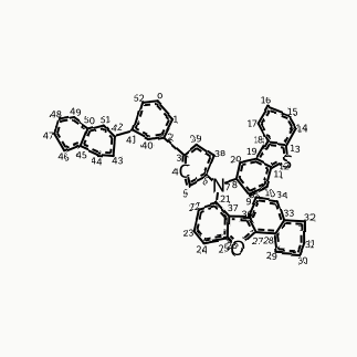 c1cc(-c2ccc(N(c3ccc4sc5ccccc5c4c3)c3cccc4oc5c6ccccc6ccc5c34)cc2)cc(-c2ccc3ccccc3c2)c1